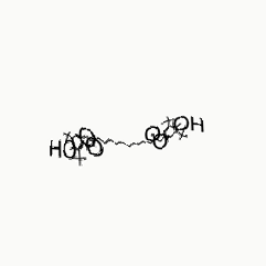 CC(C)(C)c1cc(OC(=O)CCCCCCCCCCC(=O)Oc2cc(C(C)(C)C)c(O)c(C(C)(C)C)c2)cc(C(C)(C)C)c1O